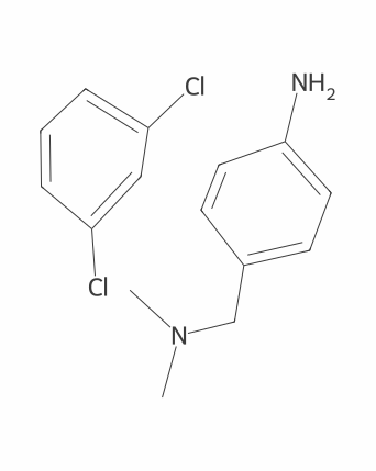 CN(C)Cc1ccc(N)cc1.Clc1cccc(Cl)c1